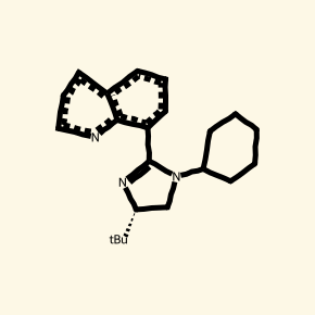 CC(C)(C)[C@H]1CN(C2CCCCC2)C(c2cccc3cccnc23)=N1